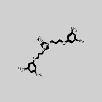 Nc1cc(N)cc(OCCCn2cc[n+](CCCOc3cc(N)cc(N)c3)c2)c1.O.[Cl-]